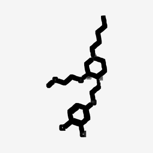 CCCCCN1CC[C@H](CCOc2ccc(Cl)c(Cl)c2)[C@@H](OCCOC)C1